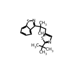 CC(C)(C)c1ncc(CC(C)(C)c2nsc3ccccc23)s1